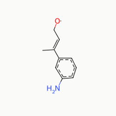 C/C(=C\C[O])c1cccc(N)c1